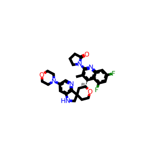 Cc1c(N2CCCC2=O)nc2cc(F)cc(F)c2c1[C@H]1CC2(CCO1)CNc1cc(N3CCOCC3)cnc12